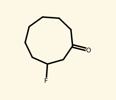 O=C1CCCCCCC(F)C1